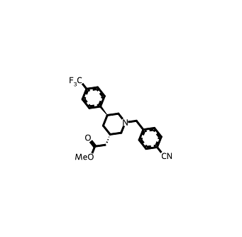 COC(=O)C[C@@H]1C[C@@H](c2ccc(C(F)(F)F)cc2)CN(Cc2ccc(C#N)cc2)C1